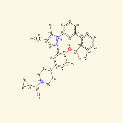 Cc1cc(C2CCN(C(=O)C3CC3)CC2)ccc1OC1CCc2cccc(-c3cccc(-n4ncc(C(=O)O)c4C)c3)c21